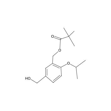 CC(C)Oc1ccc(CO)cc1COC(=O)C(C)(C)C